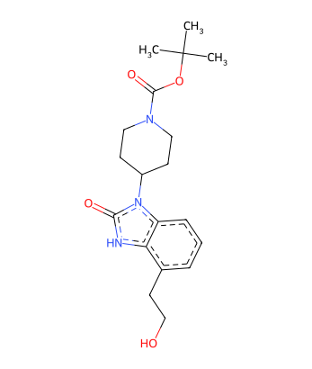 CC(C)(C)OC(=O)N1CCC(n2c(=O)[nH]c3c(CCO)cccc32)CC1